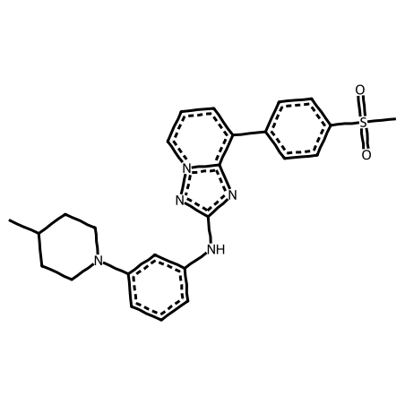 CC1CCN(c2cccc(Nc3nc4c(-c5ccc(S(C)(=O)=O)cc5)cccn4n3)c2)CC1